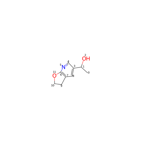 CC(O)c1cnc2c(c1)CCO2